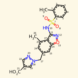 Cc1ccccc1S(=O)(=O)Nc1noc2cc(Cn3cc(C(=O)O)cn3)cc(C)c12